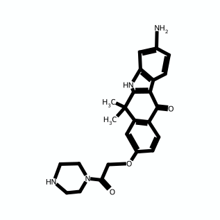 CC1(C)c2cc(OCC(=O)N3CCNCC3)ccc2C(=O)c2c1[nH]c1cc(N)ccc21